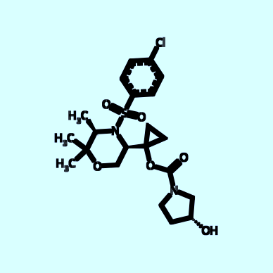 C[C@H]1N(S(=O)(=O)c2ccc(Cl)cc2)[C@@H](C2(OC(=O)N3CC[C@@H](O)C3)CC2)COC1(C)C